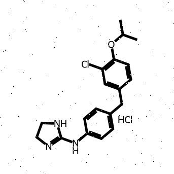 CC(C)Oc1ccc(Cc2ccc(NC3=NCCN3)cc2)cc1Cl.Cl